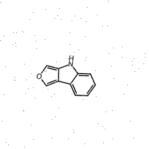 c1ccc2c(c1)[nH]c1cocc12